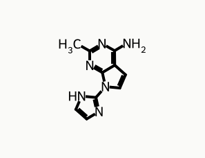 Cc1nc(N)c2ccn(-c3ncc[nH]3)c2n1